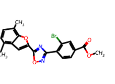 COC(=O)c1ccc(-c2noc(-c3cc4c(C)ccc(C)c4o3)n2)c(Br)c1